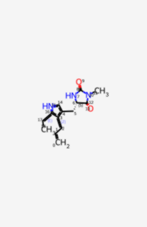 C=C/C=c1/c(C[C@@H]2NC(=O)N(C)C2=O)c[nH]/c1=C/C